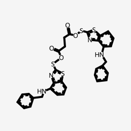 O=C(CCC(=O)OSc1nc2c(NCc3ccccc3)cccc2s1)OSc1nc2c(NCc3ccccc3)cccc2s1